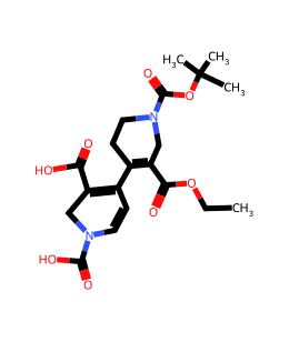 CCOC(=O)C1=C(C2=C(C(=O)O)CN(C(=O)O)C=C2)CCN(C(=O)OC(C)(C)C)C1